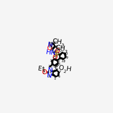 CCOc1nc2cccc(C(=O)O)c2n1Cc1ccc(-c2ccccc2S(=O)(=O)Nc2onc(C)c2C)cc1